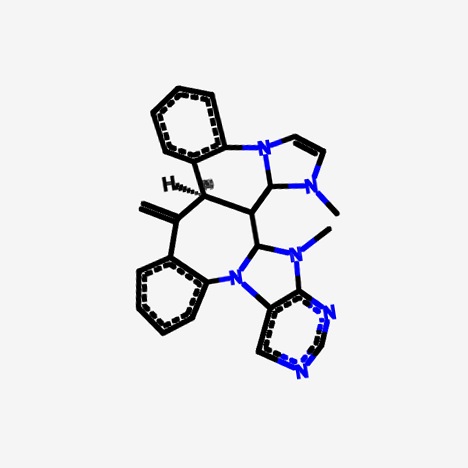 C=C1c2ccccc2N2c3cncnc3N(C)C2C2C3N(C)C=CN3c3ccccc3[C@H]12